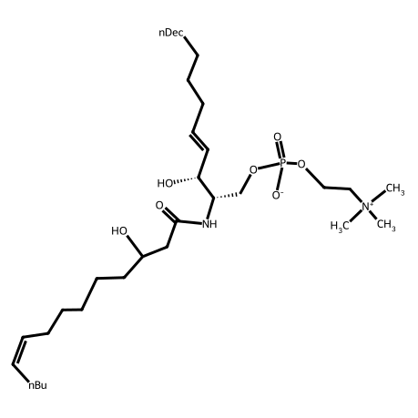 CCCC/C=C\CCCCCC(O)CC(=O)N[C@@H](COP(=O)([O-])OCC[N+](C)(C)C)[C@H](O)/C=C/CCCCCCCCCCCCC